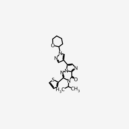 CC(C)n1c(-c2cccs2)nn2c(-c3cnn(C4CCCCO4)c3)cnc2c1=O